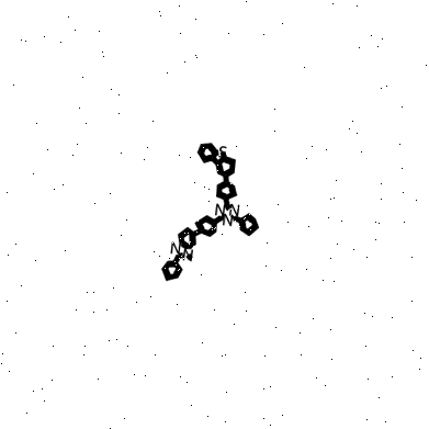 Cn1c(-c2ccccc2)nc2ccc(-c3ccc(-c4nc(-c5ccccc5)nc(-c5ccc(-c6ccc7sc8ccccc8c7c6)cc5)n4)cc3)cc21